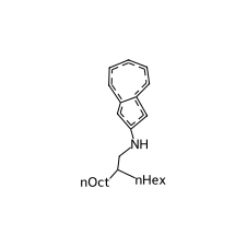 CCCCCCCCC(CCCCCC)CNc1cc2cccccc-2c1